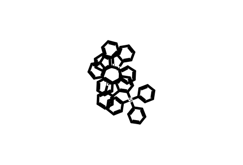 c1ccc(-c2ccccc2-n2c3ccccc3c3cccc(-n4c5ccccc5c5c([Si](c6ccccc6)(c6ccccc6)c6ccccc6)ccc(-n6c7ccccc7c7ccccc76)c54)c32)cc1